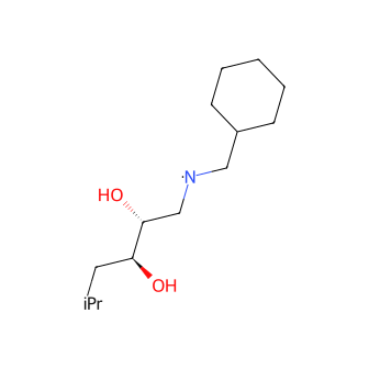 CC(C)C[C@H](O)[C@H](O)C[N]CC1CCCCC1